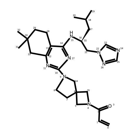 C=CC(=O)N1CC2(CCN(c3nc4c(c(N[C@@H](CC(C)C)Cn5cncn5)n3)CCC(C)(C)C4)C2)C1